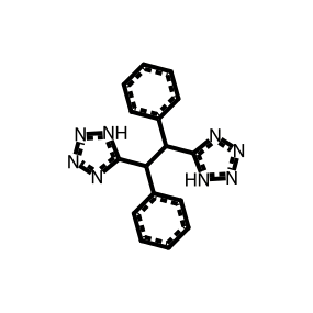 c1ccc(C(c2nnn[nH]2)C(c2ccccc2)c2nnn[nH]2)cc1